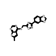 Cc1cc2c(SCc3nc(-c4ccc5c(c4)OCO5)no3)ncnc2s1